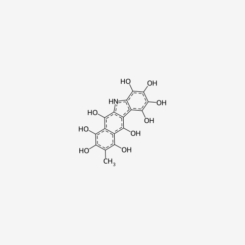 Cc1c(O)c(O)c2c(O)c3[nH]c4c(O)c(O)c(O)c(O)c4c3c(O)c2c1O